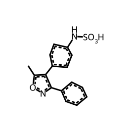 Cc1onc(-c2ccccc2)c1-c1ccc(NS(=O)(=O)O)cc1